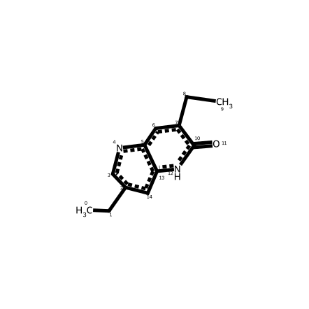 CCc1cnc2cc(CC)c(=O)[nH]c2c1